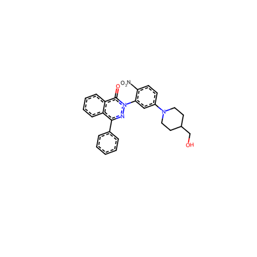 O=c1c2ccccc2c(-c2ccccc2)nn1-c1cc(N2CCC(CO)CC2)ccc1[N+](=O)[O-]